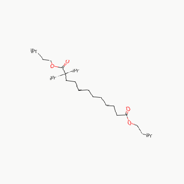 CC(C)CCOC(=O)CCCCCCCCCC(C(=O)OCCC(C)C)(C(C)C)C(C)C